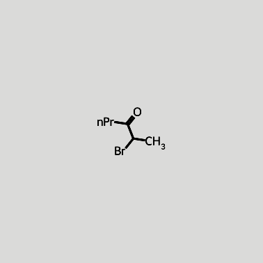 [CH2]CCC(=O)C(C)Br